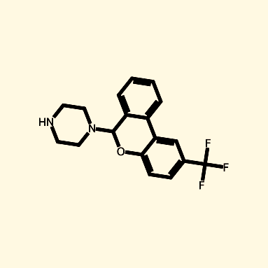 FC(F)(F)c1ccc2c(c1)-c1ccccc1C(N1CCNCC1)O2